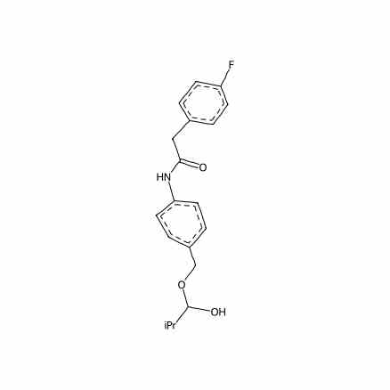 CC(C)C(O)OCc1ccc(NC(=O)Cc2ccc(F)cc2)cc1